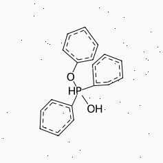 O[PH](Oc1ccccc1)(c1ccccc1)c1ccccc1